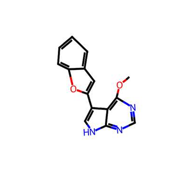 COc1ncnc2[nH]cc(-c3cc4ccccc4o3)c12